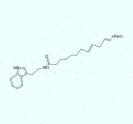 CCCCCC=CCC=CCCCCCCC(=O)NCCc1c[nH]c2ccccc12